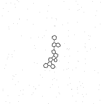 c1ccc(-c2ccc(-c3ccc4c(ccc5oc6c(ccc7c8ccccc8c8ccccc8c76)c54)c3)c3ccccc23)cc1